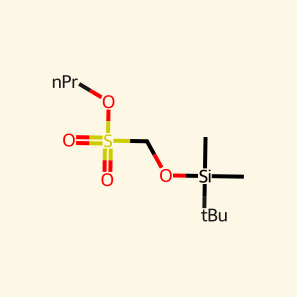 CCCOS(=O)(=O)CO[Si](C)(C)C(C)(C)C